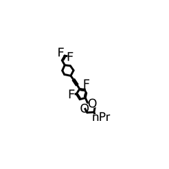 CCCC1COC(c2cc(F)c(C#CC3CCC(C=C(F)F)CC3)c(F)c2)OC1